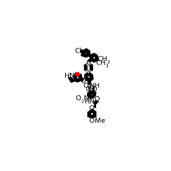 CO[C@H]1CC[C@H](OC[C@@H]2COc3cc(S(=O)(=O)NC(=O)c4ccc(N5CCN(CC6=C(c7ccc(Cl)cc7)CCC(C)(C)C6)CC5)cc4Oc4cnc5[nH]ccc5c4)cc([N+](=O)[O-])c3N2)CC1